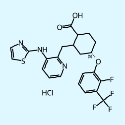 Cl.O=C(O)C1CC[C@H](Oc2cccc(C(F)(F)F)c2F)CC1Cc1ncccc1Nc1nccs1